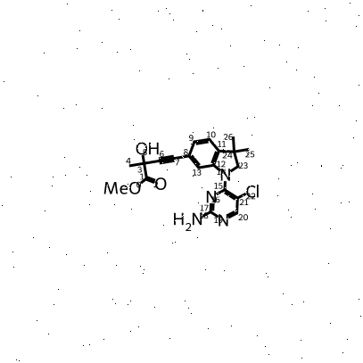 COC(=O)C(C)(O)C#Cc1ccc2c(c1)N(c1nc(N)ncc1Cl)CC2(C)C